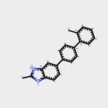 Cc1nc2ccc(-c3ccc(-c4ccccc4C)cc3)cc2[nH]1